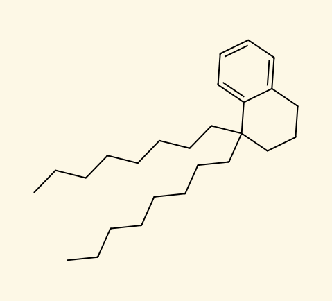 CCCCCCCCC1(CCCCCCCC)CCCc2ccccc21